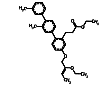 CC=C(COc1ccc(-c2ccc(-c3cccc(C)c3)c(C)c2)c(CCC(=O)OCC)c1)OCC